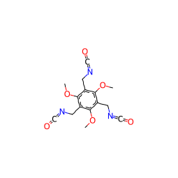 COc1c(CN=C=O)c(OC)c(CN=C=O)c(OC)c1CN=C=O